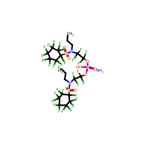 CCCN(C(F)(F)C(F)(F)OP(=O)(O)OC(F)(F)C(F)(F)N(CCC)S(=O)(=O)C1(F)C(F)(F)C(F)(F)C(F)(F)C(F)(F)C1(F)F)S(=O)(=O)C1(F)C(F)(F)C(F)(F)C(F)(F)C(F)(F)C1(F)F.N